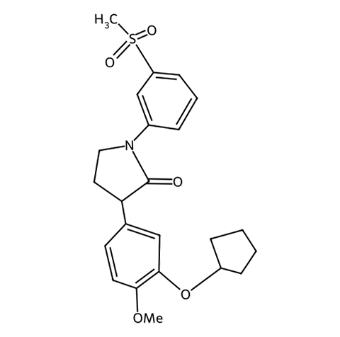 COc1ccc(C2CCN(c3cccc(S(C)(=O)=O)c3)C2=O)cc1OC1CCCC1